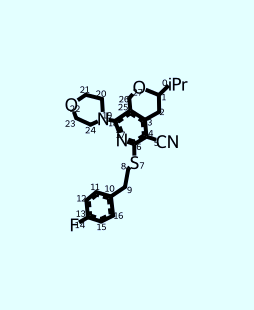 CC(C)C1Cc2c(C#N)c(SCCc3ccc(F)cc3)nc(N3CCOCC3)c2CO1